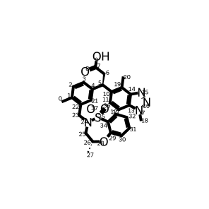 Cc1ccc([C@@H](CC(=O)O)c2ccc3c(nnn3C)c2C)cc1CN1C[C@@H](C)Oc2ccccc2S1(=O)=O